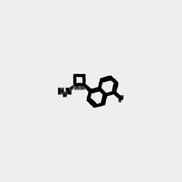 N[C@@H]1CC[C@H]1c1cccc2c(F)cccc12